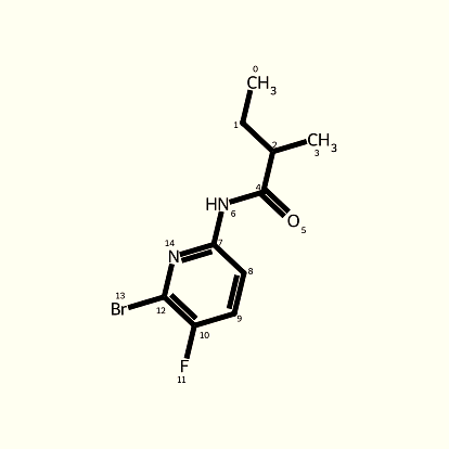 CCC(C)C(=O)Nc1ccc(F)c(Br)n1